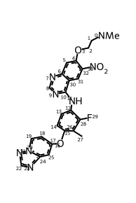 CNCCOc1cc2ncnc(Nc3ccc(Oc4ccn5ncnc5c4)c(C)c3F)c2cc1[N+](=O)[O-]